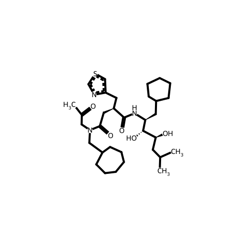 CC(=O)CN(CC1CCCCCC1)C(=O)C[C@@H](Cc1cscn1)C(=O)N[C@@H](CC1CCCCC1)[C@@H](O)[C@@H](O)CC(C)C